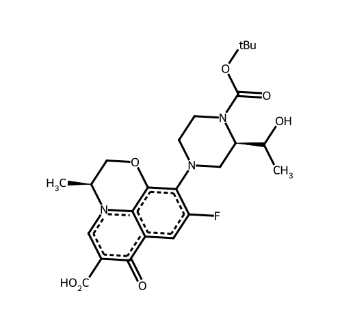 CC(O)[C@H]1CN(c2c(F)cc3c(=O)c(C(=O)O)cn4c3c2OC[C@@H]4C)CCN1C(=O)OC(C)(C)C